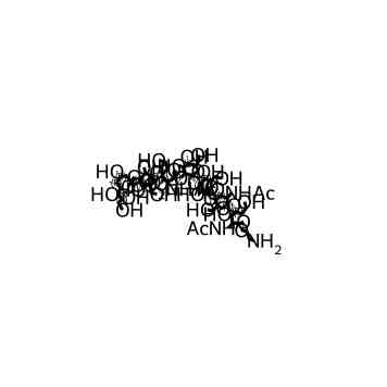 CC(=O)NC1[C@H](OCCN)OC(CO)[C@@H](O[C@@H]2OC(CO)[C@@H](O[C@@H]3OC(CO)[C@@H](O)[C@H](O[C@H]4OC(CO)[C@@H](O)C(O)C4O[C@@H]4OC(CO)[C@@H](O[C@@H]5OC(CO)[C@H](O)[C@H](O[C@]6(C(=O)O)C[C@@H](O)[C@@H](C)C([C@H](O)[C@H](O)CO)O6)C5O)[C@H](O)C4NC(C)=O)C3O)[C@H](O)C2NC(C)=O)[C@@H]1O